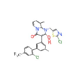 Cc1cc(-c2ccc(C(F)(F)F)cc2Cl)cc(-c2c(O)[n+](Cc3cnc(Cl)s3)c3c(C)cccn3c2=O)c1